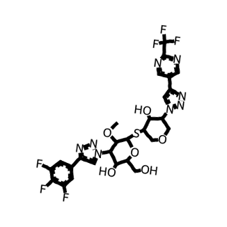 COC1C(SC2COCC(n3cc(-c4cnc(C(F)(F)F)nc4)nn3)C2O)OC(CO)C(O)C1n1cc(-c2cc(F)c(F)c(F)c2)nn1